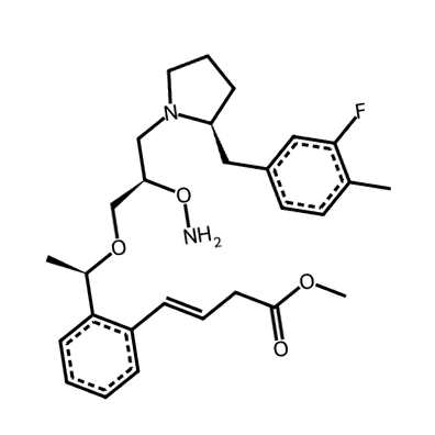 COC(=O)C/C=C/c1ccccc1[C@@H](C)OC[C@@H](CN1CCC[C@H]1Cc1ccc(C)c(F)c1)ON